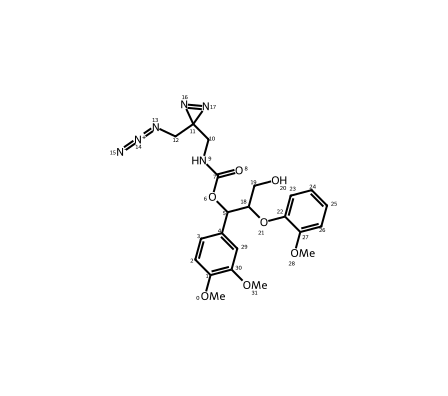 COc1ccc(C(OC(=O)NCC2(CN=[N+]=[N-])N=N2)C(CO)Oc2ccccc2OC)cc1OC